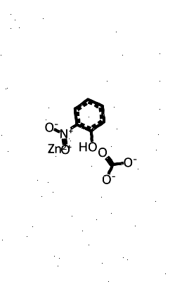 O=C([O-])[O-].O=[N+]([O-])c1ccccc1O.[Zn+2]